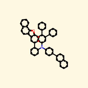 c1ccc(-c2ccc(N(c3ccc(-c4ccc5ccccc5c4)cc3)c3ccccc3-c3ccc4oc5c6ccccc6ccc5c4c3)cc2-c2ccccc2)cc1